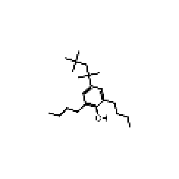 CCCCc1cc(C(C)(C)CC(C)(C)C)cc(CCCC)c1O